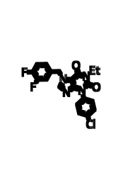 CCn1c(=O)c2c(ncn2Cc2ccc(F)c(F)c2)n(-c2ccc(Cl)cc2)c1=O